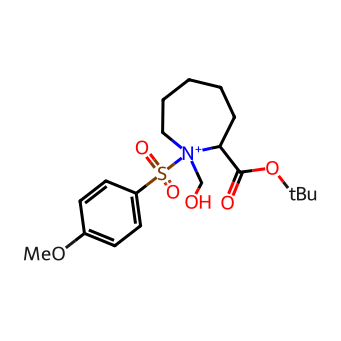 COc1ccc(S(=O)(=O)[N+]2(CO)CCCCCC2C(=O)OC(C)(C)C)cc1